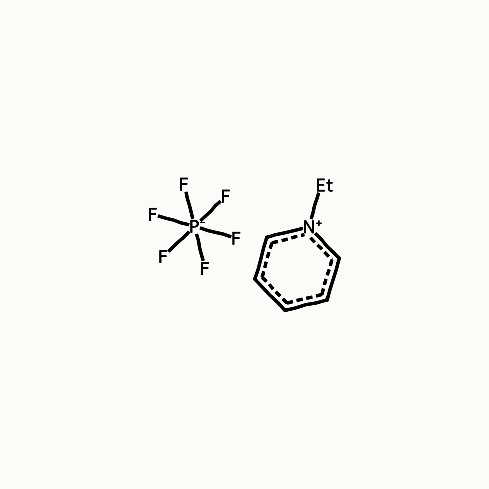 CC[n+]1ccccc1.F[P-](F)(F)(F)(F)F